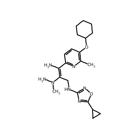 Cc1nc(/C(N)=C(\CNc2noc(C3CC3)n2)N(C)N)ccc1OC1CCCCC1